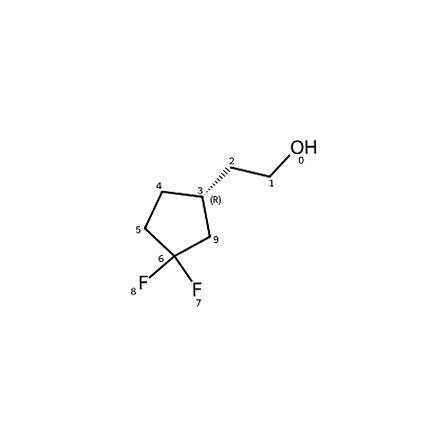 OCC[C@H]1CCC(F)(F)C1